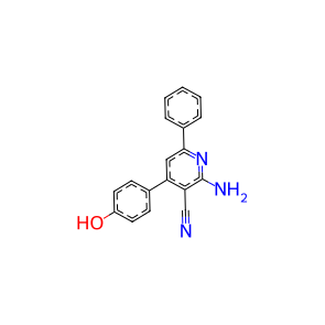 N#Cc1c(-c2ccc(O)cc2)cc(-c2ccccc2)nc1N